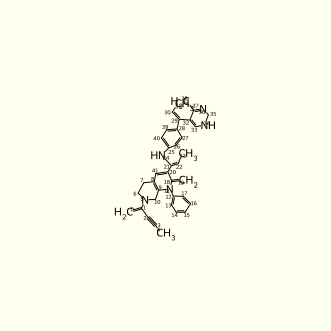 C=C(C#CC)N1CCC2=C(C1)N(c1ccccc1)C(=C)C(/C(=C/C)Nc1ccc(/C(=C/C)C3=CNCN=C3C)cc1)=C2